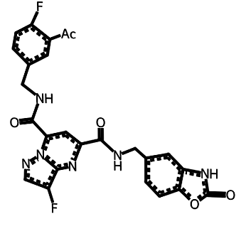 CC(=O)c1cc(CNC(=O)c2cc(C(=O)NCc3ccc4oc(=O)[nH]c4c3)nc3c(F)cnn23)ccc1F